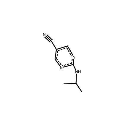 CC(C)Nc1ncc(C#N)cn1